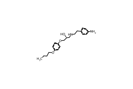 CCCCOc1ccc(OC[C@@H](O)CNCCc2ccc(N)cc2)cc1